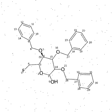 OC1OC(CF)[C@@H](OCc2ccccc2)C(OCc2ccccc2)C1OCc1ccccc1